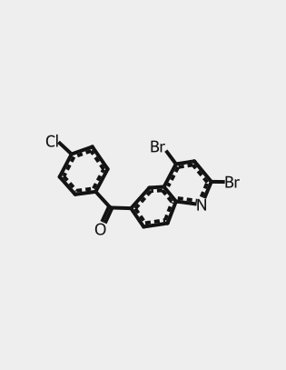 O=C(c1ccc(Cl)cc1)c1ccc2nc(Br)cc(Br)c2c1